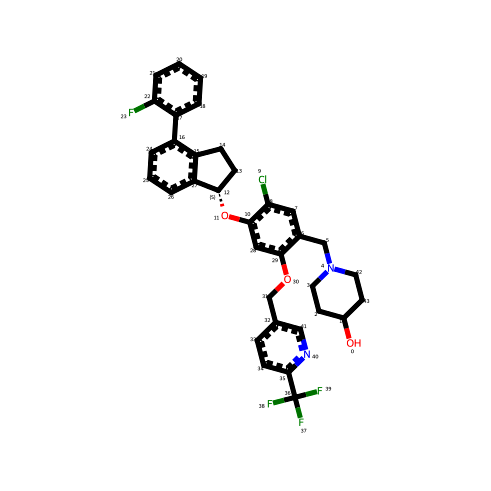 OC1CCN(Cc2cc(Cl)c(O[C@H]3CCc4c(-c5ccccc5F)cccc43)cc2OCc2ccc(C(F)(F)F)nc2)CC1